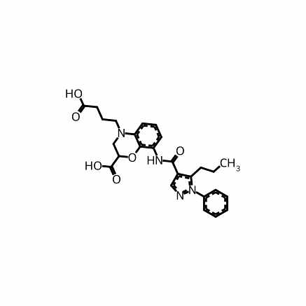 CCCc1c(C(=O)Nc2cccc3c2OC(C(=O)O)CN3CCCC(=O)O)cnn1-c1ccccc1